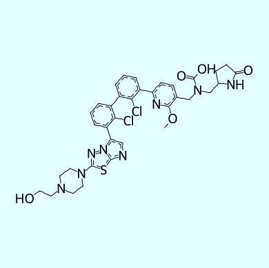 COc1nc(-c2cccc(-c3cccc(-c4cnc5sc(N6CCN(CCO)CC6)nn45)c3Cl)c2Cl)ccc1CN(CC1CCC(=O)N1)C(=O)O